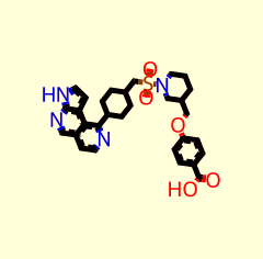 O=C(O)c1ccc(OCC2CCCN(S(=O)(=O)CC3CCC(c4nccc5cnc6[nH]ccc6c45)CC3)C2)cc1